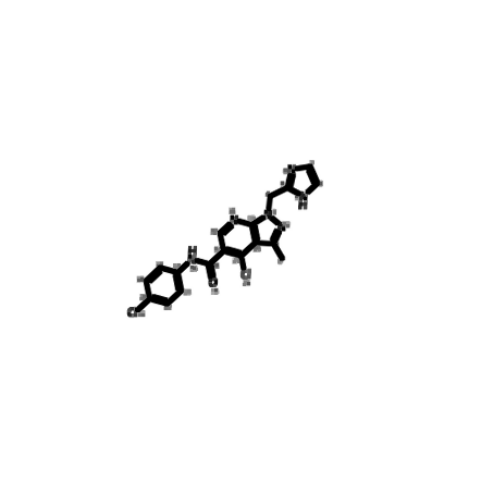 Cc1nn(Cc2ncc[nH]2)c2ncc(C(=O)Nc3ccc(Cl)cc3)c(Cl)c12